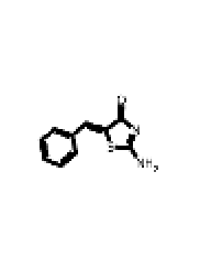 NC1=NC(=O)C(=Cc2ccccc2)S1